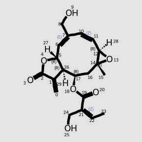 C=C1C(=O)O[C@@H]2/C=C(CO)\C=C/[C@H]3O[C@]3(C)C[C@@H](OC(=O)/C(=C\C)CO)[C@@H]12